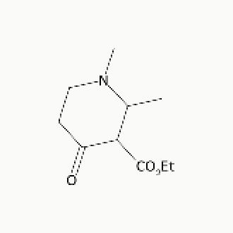 CCOC(=O)C1C(=O)CCN(C)C1C